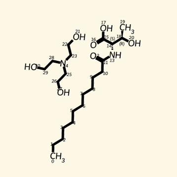 CCCCCCCCCCCC(=O)N[C@H](C(=O)O)[C@@H](C)O.OCCN(CCO)CCO